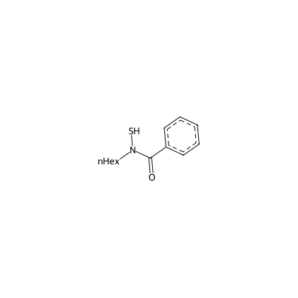 CCCCCCN(S)C(=O)c1ccccc1